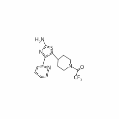 Nc1nc(-c2ccccn2)c(C2CCN(C(=O)C(F)(F)F)CC2)s1